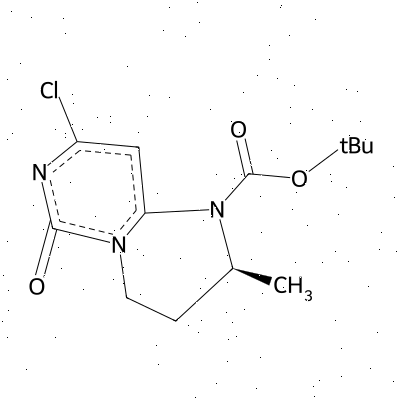 C[C@H]1CCn2c(cc(Cl)nc2=O)N1C(=O)OC(C)(C)C